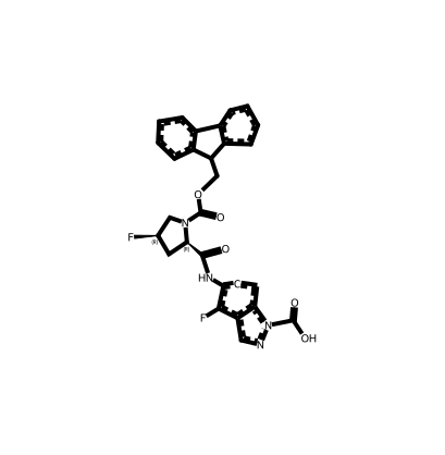 O=C(Nc1ccc2c(cnn2C(=O)O)c1F)[C@H]1C[C@@H](F)CN1C(=O)OCC1c2ccccc2-c2ccccc21